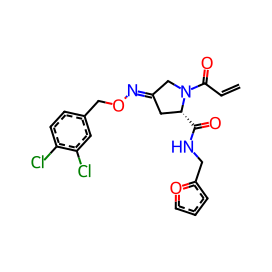 C=CC(=O)N1CC(=NOCc2ccc(Cl)c(Cl)c2)C[C@H]1C(=O)NCc1ccco1